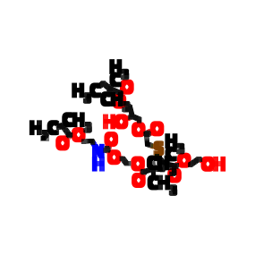 C=C(C)C(=O)OCCNC(=O)OCCOC(=O)C(C)(C)CC(C)(CSCC(=O)OCC(O)COC(=O)C(C)(C)CC)C(=O)OCCO